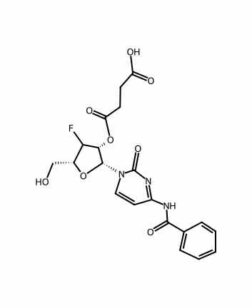 O=C(O)CCC(=O)O[C@H]1C(F)[C@@H](CO)O[C@H]1n1ccc(NC(=O)c2ccccc2)nc1=O